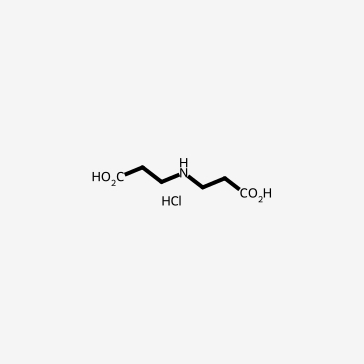 Cl.O=C(O)CCNCCC(=O)O